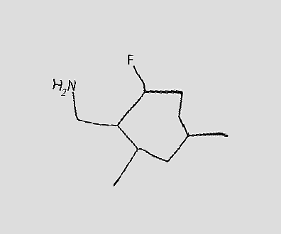 CC1CC(C)C(CN)C(F)C1